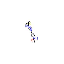 CCC(=O)N[C@H]1CC[C@H](CCN2CCN(c3nccc4ccsc34)CC2)CC1